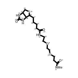 CNC(=O)CCOCCOCCNC(=O)CCCCC1SCC2NC(=O)NC21